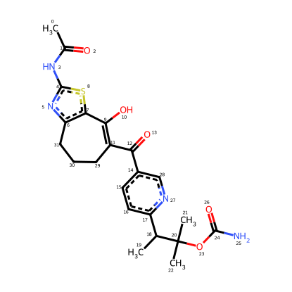 CC(=O)Nc1nc2c(s1)C(O)=C(C(=O)c1ccc(C(C)C(C)(C)OC(N)=O)nc1)CCC2